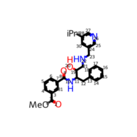 COC(=O)c1cccc(C(=O)NC(Cc2ccccc2)C(O)CNCc2cncc(C(C)C)c2)c1